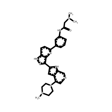 CN(C)CC(=O)Nc1cccc(-c2ccc3[nH]nc(-c4cc5c(N6CCN(C)CC6)cncc5[nH]4)c3n2)c1